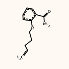 C=CCCCOc1ccccc1C(N)=O